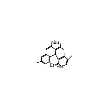 C=C(CCCC)C(=C(C)C)C(C1=C(C)C(C)=CNC1=C)c1ccc(C)cc1CC